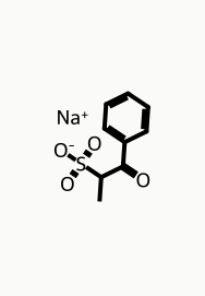 CC(C(=O)c1ccccc1)S(=O)(=O)[O-].[Na+]